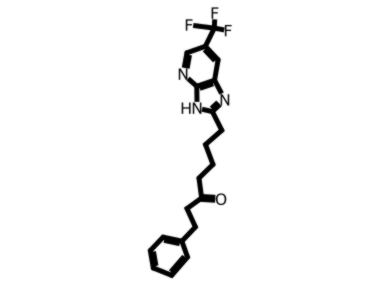 O=C(CCCCc1nc2cc(C(F)(F)F)cnc2[nH]1)CCc1ccccc1